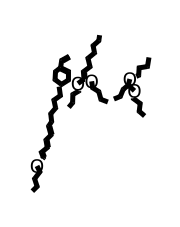 C=CC1=CCCCC1.CCCCCCC=C(OCCCC)OCCCC.CCCCCCC=CC=CC=COCCCC.CCCCOC(CCC)OCCCC